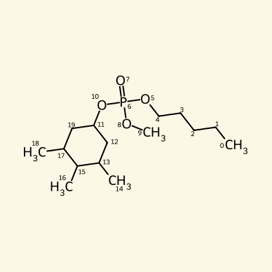 CCCCCOP(=O)(OC)OC1CC(C)C(C)C(C)C1